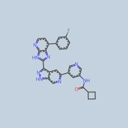 O=C(Nc1cncc(-c2cc3c(-c4nc5c(-c6cccc(F)c6)ccnc5[nH]4)n[nH]c3cn2)c1)C1CCC1